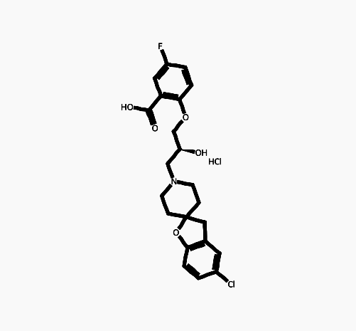 Cl.O=C(O)c1cc(F)ccc1OC[C@@H](O)CN1CCC2(CC1)Cc1cc(Cl)ccc1O2